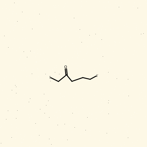 O=C(CI)CCCI